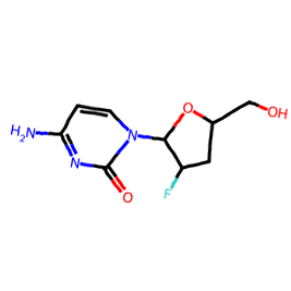 Nc1ccn(C2OC(CO)CC2F)c(=O)n1